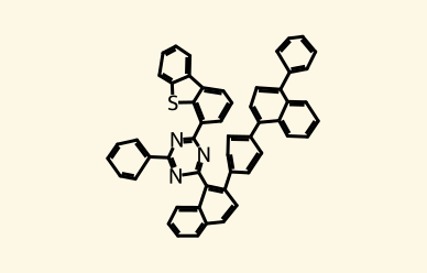 c1ccc(-c2nc(-c3c(-c4ccc(-c5ccc(-c6ccccc6)c6ccccc56)cc4)ccc4ccccc34)nc(-c3cccc4c3sc3ccccc34)n2)cc1